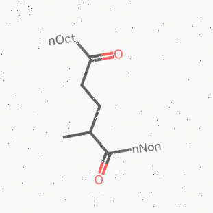 CCCCCCCCCC(=O)C(C)CCC(=O)CCCCCCCC